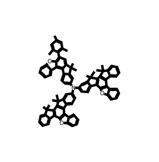 Cc1cc(C)c(-c2cc3c(c4c2oc2ccccc24)-c2ccc(N(c4ccc5c(c4)C(C)(C)c4c6c(c7c(oc8ccccc87)c4-5)-c4ccccc4C6(C)C)c4ccc5c(c4)C(C)(C)c4c6c(c7oc8ccccc8c7c4-5)-c4ccccc4C6(C)C)cc2C3(C)C)c(C)c1